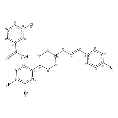 O=C(Nc1cc(F)c(Br)nc1C1CCN(C/C=C/c2ccc(Cl)cc2)CC1)c1ccnc(Cl)c1